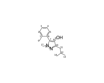 Cc1ccccc1-c1c(O)c(CC(C)C)nn1C